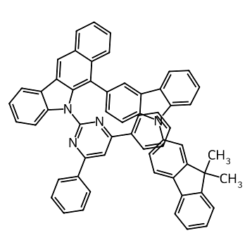 CC1(C)c2ccccc2-c2ccc(-n3c4ccccc4c4cc(-c5c6ccccc6cc6c7ccccc7n(-c7nc(-c8ccccc8)cc(-c8ccccc8)n7)c56)ccc43)cc21